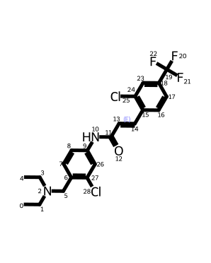 CCN(CC)Cc1ccc(NC(=O)/C=C/c2ccc(C(F)(F)F)cc2Cl)cc1Cl